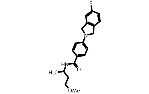 COCCC(C)NC(=O)c1ccc(N2Cc3ccc(F)cc3C2)cc1